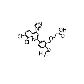 COc1ccc(-c2cc(-n3ccnc3)c3ccc(Cl)c(Cl)c3n2)cc1COCCC(=O)O